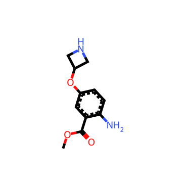 COC(=O)c1cc(OC2CNC2)ccc1N